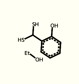 CCO.Oc1ccccc1C(S)S